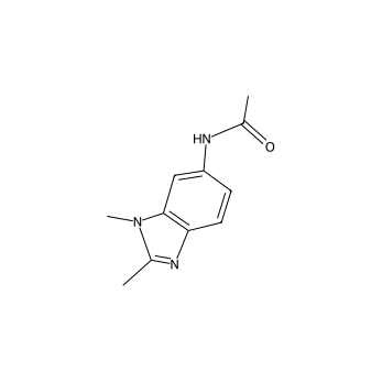 CC(=O)Nc1ccc2nc(C)n(C)c2c1